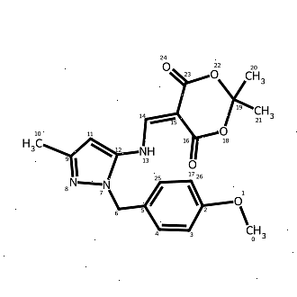 COc1ccc(Cn2nc(C)cc2NC=C2C(=O)OC(C)(C)OC2=O)cc1